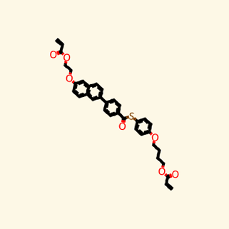 C=CC(=O)OCCCCOc1ccc(SC(=O)c2ccc(-c3ccc4cc(OCCOC(=O)C=C)ccc4c3)cc2)cc1